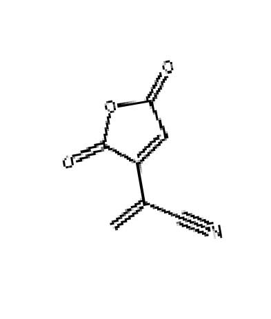 C=C(C#N)C1=CC(=O)OC1=O